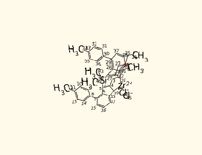 CCCCC1=C2c3c(-c4ccc(C)cc4)cccc3[CH]1[Zr+2][CH]1C(CCCC)=C(c3c(-c4ccc(C)cc4)cccc31)[Si]2(C)C.[Cl-].[Cl-]